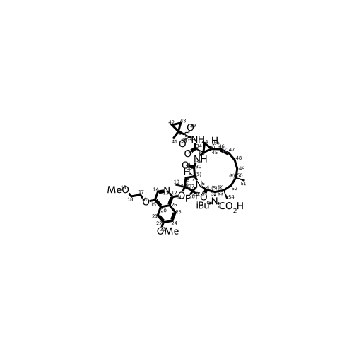 CCC(C)N(C(=O)O)[C@@H]1C(=O)N2[C@@H](C[C@@](C)(Oc3ncc(OCCOC)c4cc(OC)ccc34)C2(F)F)C(=O)N[C@]2(C(=O)NS(=O)(=O)C3(C)CC3)C[C@H]2/C=C\CC[C@@H](C)C[C@H]1C